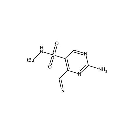 CC(C)(C)NS(=O)(=O)c1cnc(N)nc1C=S